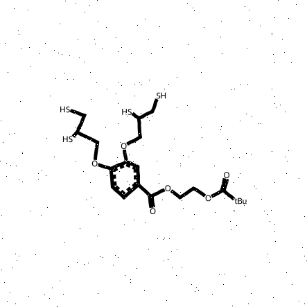 CC(C)(C)C(=O)OCCOC(=O)c1ccc(OCC(S)CS)c(OCC(S)CS)c1